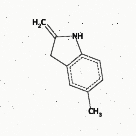 C=C1Cc2cc(C)ccc2N1